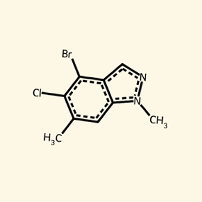 Cc1cc2c(cnn2C)c(Br)c1Cl